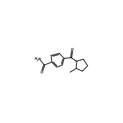 CC1CCCN1C(=O)c1c[c]c(C(N)=O)cc1